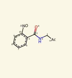 CC(=O)CNC(=O)c1ccccc1N=O